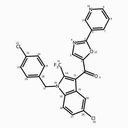 O=C(c1cnc(-c2cccnc2)o1)c1c(C(F)(F)F)n(Cc2ccc(Cl)cc2)c2ccc(Cl)cc12